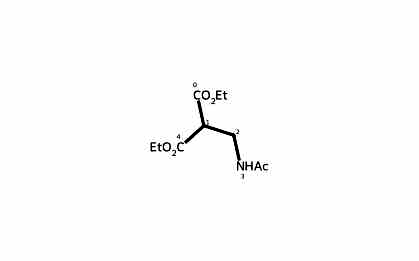 CCOC(=O)C(CNC(C)=O)C(=O)OCC